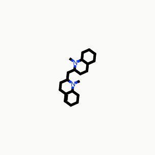 CN1C(CC2CCC3CCCCC3N2C)CCC2=CCCCC21